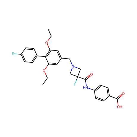 CCOc1cc(CN2CC(F)(C(=O)Nc3ccc(C(=O)O)cc3)C2)cc(OCC)c1-c1ccc(F)cc1